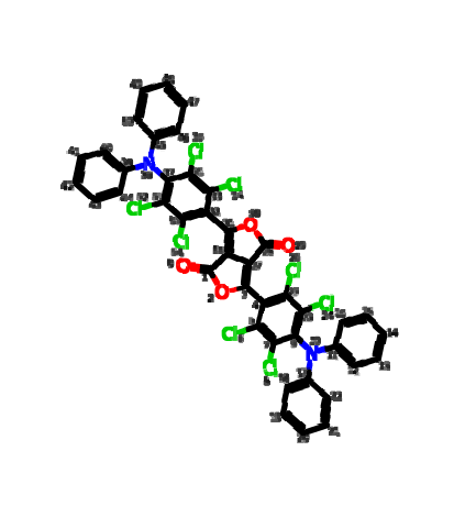 O=C1OC(c2c(Cl)c(Cl)c(N(c3ccccc3)c3ccccc3)c(Cl)c2Cl)=C2C(=O)OC(c3c(Cl)c(Cl)c(N(c4ccccc4)c4ccccc4)c(Cl)c3Cl)=C12